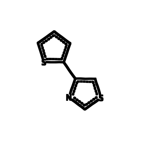 c1csc(-c2cscn2)c1